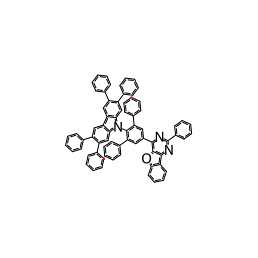 c1ccc(-c2nc(-c3cc(-c4ccccc4)c(-n4c5cc(-c6ccccc6)c(-c6ccccc6)cc5c5cc(-c6ccccc6)c(-c6ccccc6)cc54)c(-c4ccccc4)c3)c3oc4ccccc4c3n2)cc1